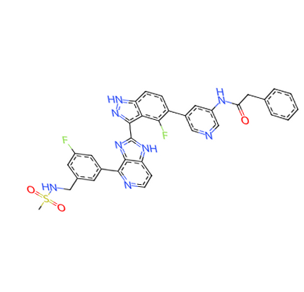 CS(=O)(=O)NCc1cc(F)cc(-c2nccc3[nH]c(-c4n[nH]c5ccc(-c6cncc(NC(=O)Cc7ccccc7)c6)c(F)c45)nc23)c1